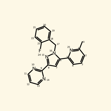 Cc1cccc(-c2cc(-c3ncccn3)nn2Cc2ccccc2F)n1